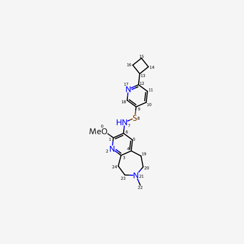 COc1nc2c(cc1NSc1ccc(C3CCC3)nc1)CCN(C)CC2